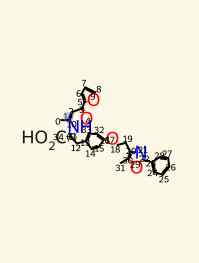 C/C(=C/C(=O)c1ccco1)N[C@@H](Cc1ccc(OCCc2nc(-c3ccccc3)oc2C)cc1)C(=O)O